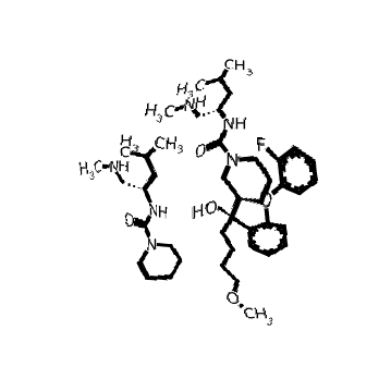 CNC[C@H](CC(C)C)NC(=O)N1CCCCC1.CNC[C@H](CC(C)C)NC(=O)N1CCC[C@@H]([C@@](O)(CCCCOC)c2ccccc2Oc2ccccc2F)C1